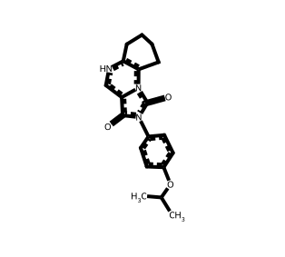 CC(C)Oc1ccc(-n2c(=O)c3c[nH]c4c(n-3c2=O)CCCC4)cc1